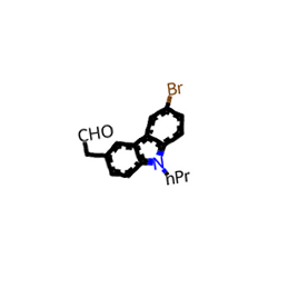 CCCn1c2ccc(Br)cc2c2cc(CC=O)ccc21